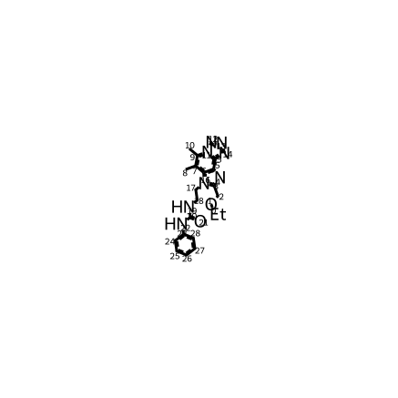 CCOCc1nc2c(c(C)c(C)n3nnnc23)n1CCNC(=O)Nc1ccccc1